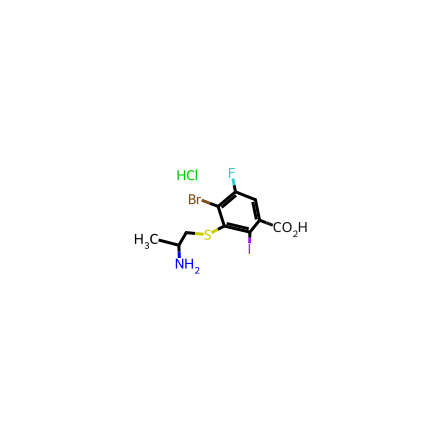 CC(N)CSc1c(Br)c(F)cc(C(=O)O)c1I.Cl